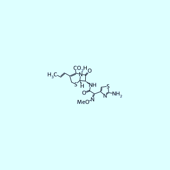 C/C=C/C1=C(C(=O)O)N2C(=O)[C@@H](NC(=O)/C(=N\OC)c3csc(N)n3)[C@@H]2SC1